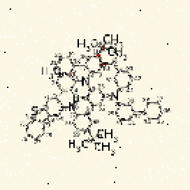 Cc1cc2c3c(c1)N(c1ccc(C(C)(C)C)cc1-c1ccccc1)c1cc(N(c4cccc(-c5ccccc5)c4)c4cccc(-c5ccccc5)c4)ccc1B3N(c1ccc(C(C)(C)C)cc1)c1cc3c(cc1-2)sc1ccccc13